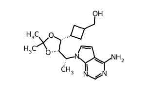 C[C@H]([C@@H]1OC(C)(C)O[C@@H]1C1CC(CO)C1)n1ccc2c(N)ncnc21